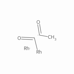 C[C]=O.O=[CH][Rh].[Rh]